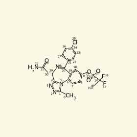 Cc1nnc2n1-c1ccc(OS(=O)(=O)C(F)(F)F)cc1C(c1ccc(Cl)cc1)=N[C@H]2CC(N)=O